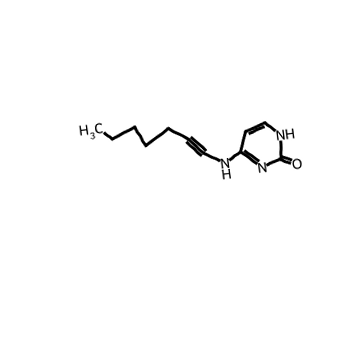 CCCCCC#CNc1cc[nH]c(=O)n1